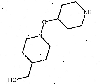 OCC1CCN(OC2CCNCC2)CC1